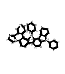 c1ccc(-n2c3ccccc3c3c2ccc2c4ccc5c(c6ccncc6c6nccn56)c4n(-c4ccccc4)c23)cc1